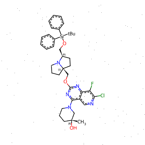 CC(C)(C)[Si](OC[C@H]1CC[C@]2(COc3nc(N4CCC[C@@](C)(O)C4)c4cnc(Cl)c(F)c4n3)CCCN12)(c1ccccc1)c1ccccc1